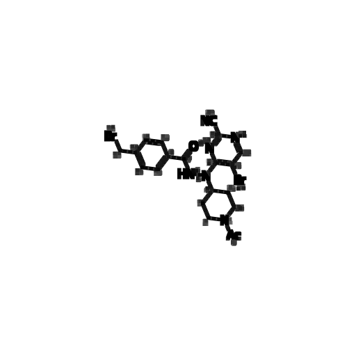 CC(=O)N1CCC(N(NC(=O)c2ccc(CBr)cc2)c2nc(C#N)ncc2Br)CC1